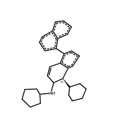 C1=CC(NC2CCCCC2)[C@H](C2CCCCC2)c2cccc(-c3cccc4ccccc34)c21